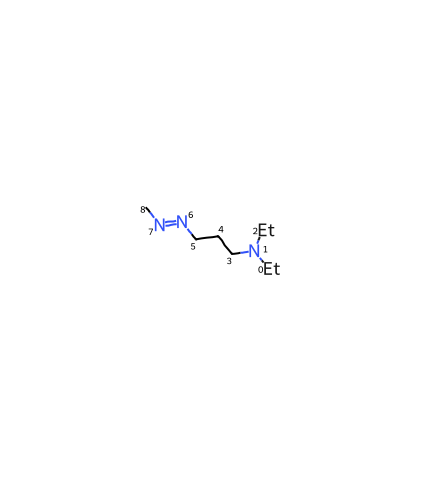 CCN(CC)CCCN=NC